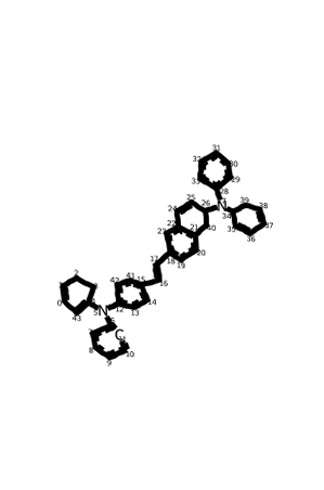 C1=CCCC(N(c2ccccc2)c2ccc(/C=C/c3ccc4c(c3)C=CC(N(c3ccccc3)C3C=CC=CC3)C4)cc2)=C1